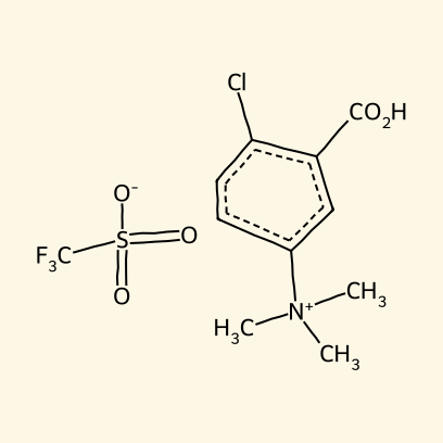 C[N+](C)(C)c1ccc(Cl)c(C(=O)O)c1.O=S(=O)([O-])C(F)(F)F